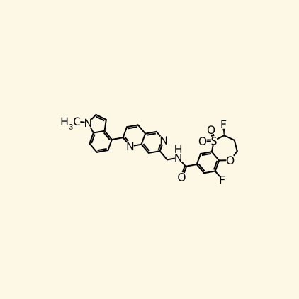 Cn1ccc2c(-c3ccc4cnc(CNC(=O)c5cc(F)c6c(c5)S(=O)(=O)[C@@H](F)CCO6)cc4n3)cccc21